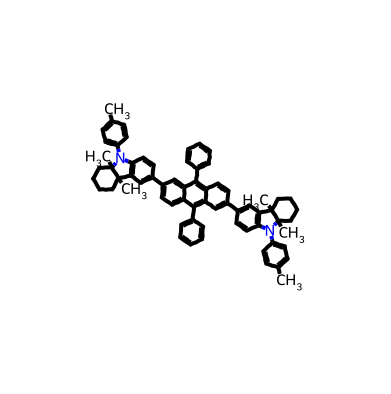 Cc1ccc(N2c3ccc(-c4ccc5c(-c6ccccc6)c6cc(-c7ccc8c(c7)C7(C)CCCCC7(C)N8c7ccc(C)cc7)ccc6c(-c6ccccc6)c5c4)cc3C3(C)CCCCC23C)cc1